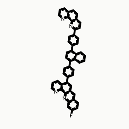 Fc1ccc2cc3cc(-c4ccc(-c5ccc(-c6ccc(-c7ccc8ccc9cccnc9c8n7)cc6)c6ccccc56)cc4)c4cccnc4c3nc2c1